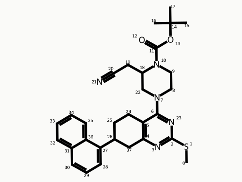 CSc1nc2c(c(N3CCN(C(=O)OC(C)(C)C)C(CC#N)C3)n1)CCC(c1cccc3ccccc13)C2